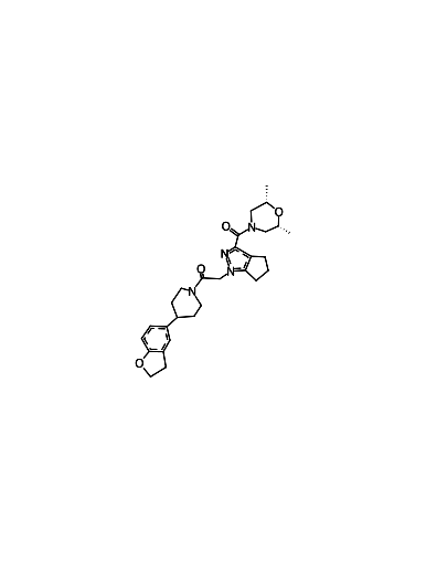 C[C@@H]1CN(C(=O)c2nn(CC(=O)N3CCC(c4ccc5c(c4)CCO5)CC3)c3c2CCC3)C[C@H](C)O1